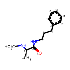 C[C@@H](NC(=O)O)C(=O)NCCCc1ccccc1